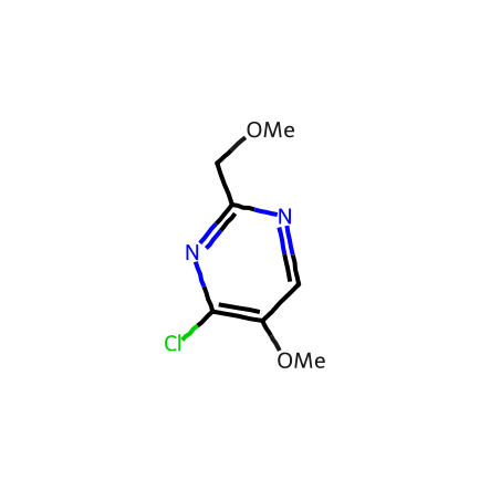 COCc1ncc(OC)c(Cl)n1